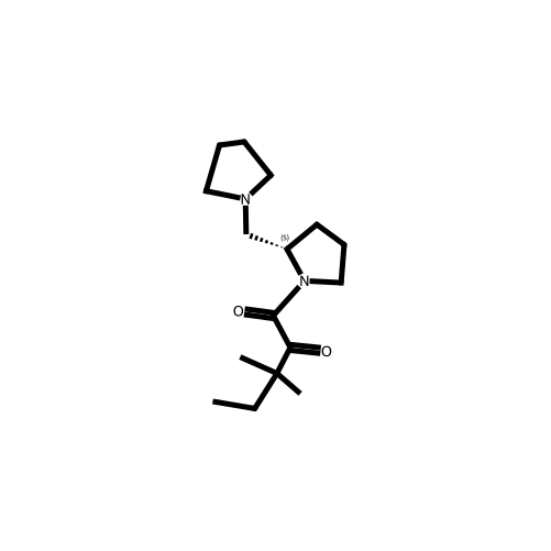 CCC(C)(C)C(=O)C(=O)N1CCC[C@H]1CN1CCCC1